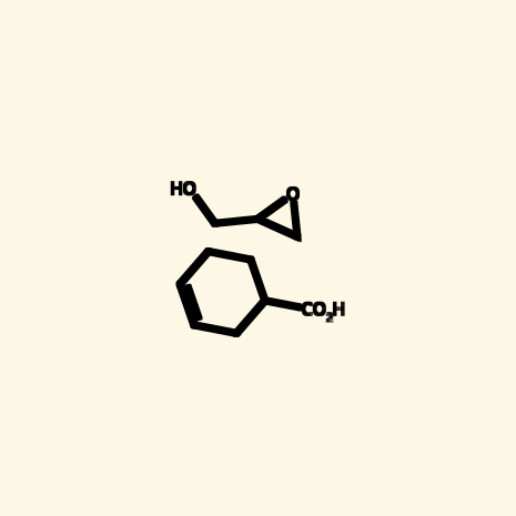 O=C(O)C1CC=CCC1.OCC1CO1